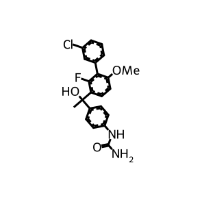 COc1ccc(C(C)(O)c2ccc(NC(N)=O)cc2)c(F)c1-c1cccc(Cl)c1